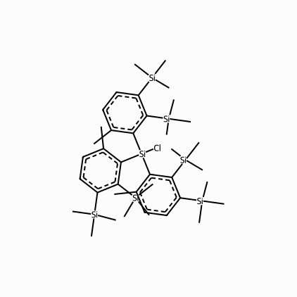 Cc1ccc([Si](C)(C)C)c([Si](C)(C)C)c1[Si](Cl)(c1c(C)ccc([Si](C)(C)C)c1[Si](C)(C)C)c1c(C)ccc([Si](C)(C)C)c1[Si](C)(C)C